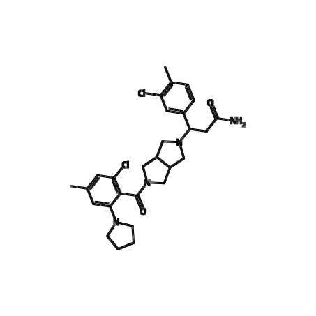 Cc1cc(Cl)c(C(=O)N2CC3CN(C(CC(N)=O)c4ccc(C)c(Cl)c4)CC3C2)c(N2CCCC2)c1